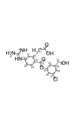 CC(=O)O.N=C(N)Nc1ccc(C(=O)Oc2cc(Cl)cc(CO)c2)cc1